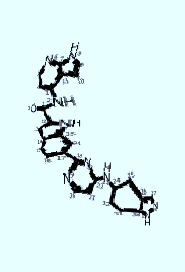 O=C(Nc1ccnc2[nH]ccc12)c1cc2ccc(-c3nccc(NC4C=c5cn[nH]c5=CC4)n3)cc2[nH]1